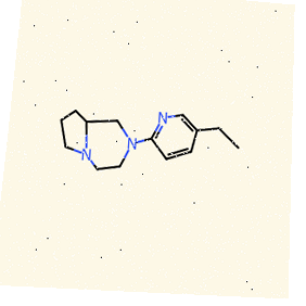 CCc1ccc(N2CCN3CCCC3C2)nc1